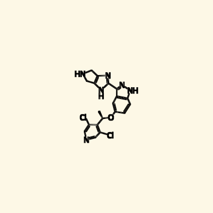 C[C@@H](Oc1ccc2[nH]nc(-c3nc4c([nH]3)CNC4)c2c1)c1c(Cl)cncc1Cl